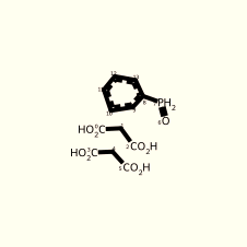 O=C(O)CC(=O)O.O=C(O)CC(=O)O.O=[PH2]c1ccccc1